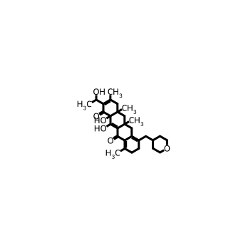 CC1=C2C(=O)C3=C(O)C4(O)C(=O)C(C(C)O)=C(C)CC4(C)CC3(C)CC2=C(CC2CCOCC2)CC1